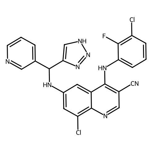 N#Cc1cnc2c(Cl)cc(NC(c3cccnc3)c3c[nH]nn3)cc2c1Nc1cccc(Cl)c1F